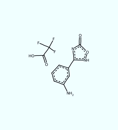 Nc1cccc(-c2nc(=O)o[nH]2)c1.O=C(O)C(F)(F)F